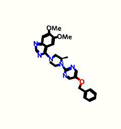 COc1cc2ncnc(N3CCN(c4ncc(OCc5ccccc5)cn4)[C@H](C)C3)c2cc1OC